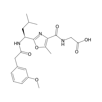 COc1cccc(CC(=O)N[C@@H](CC(C)C)c2nc(C(=O)NCC(=O)O)c(C)o2)c1